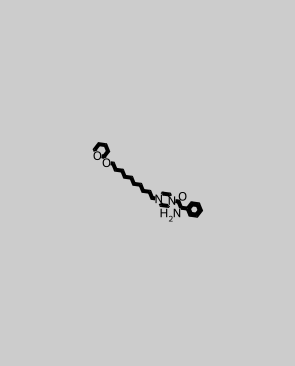 NC(C(=O)N1CCN(CCCCCCCCCCOC2CCCCO2)CC1)c1ccccc1